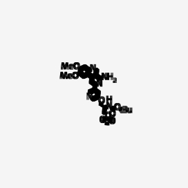 COc1cc2ncc3c(N)nc(-c4cncc(OC[C@H](COS(C)(=O)=O)NC(=O)OC(C)(C)C)c4)cc3c2cc1OC